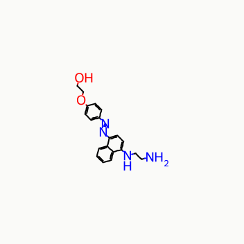 NCCNc1ccc(N=Nc2ccc(OCCO)cc2)c2ccccc12